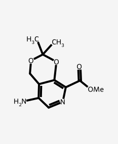 COC(=O)c1ncc(N)c2c1OC(C)(C)OC2